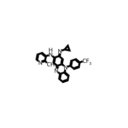 Cc1ncccc1Nc1cc2nc3ccccc3n(-c3ccc(C(F)(F)F)cc3)c-2c/c1=N\C1CC1